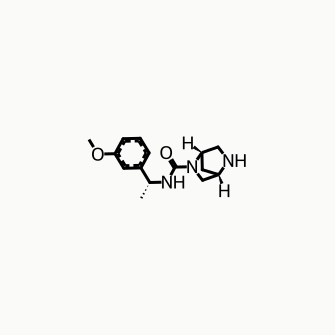 COc1cccc([C@@H](C)NC(=O)N2C[C@@H]3C[C@H]2CN3)c1